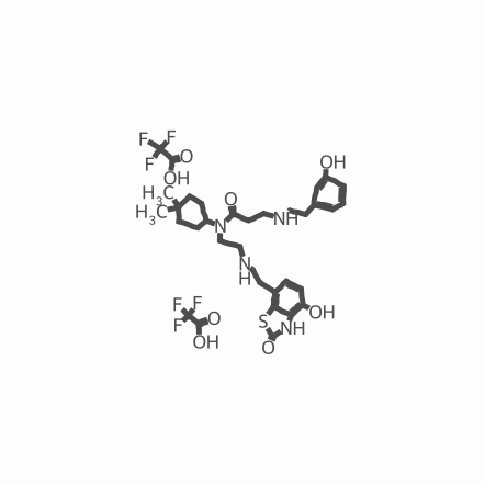 CC1(C)CCC(N(CCNCCc2ccc(O)c3[nH]c(=O)sc23)C(=O)CCNCCc2cccc(O)c2)CC1.O=C(O)C(F)(F)F.O=C(O)C(F)(F)F